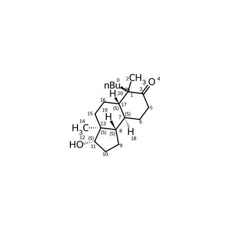 CCCC[C@@]1(C)C(=O)CC[C@H]2[C@@H]3CC[C@H](O)[C@@]3(C)CC[C@@H]21